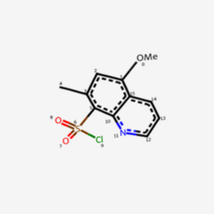 COc1cc(C)c(S(=O)(=O)Cl)c2ncccc12